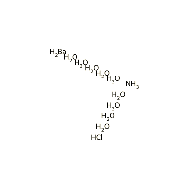 Cl.N.O.O.O.O.O.O.O.O.O.[BaH2]